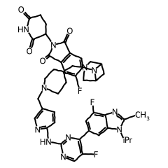 Cc1nc2c(F)cc(-c3nc(Nc4ccc(CN5CCC(CN6CC7CC(C6)N7c6cc7c(cc6F)C(=O)N(C6CCC(=O)NC6=O)C7=O)CC5)cn4)ncc3F)cc2n1C(C)C